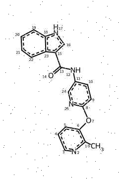 Cc1ncccc1Oc1ccc(NC(=O)c2c[nH]c3ccccc23)cn1